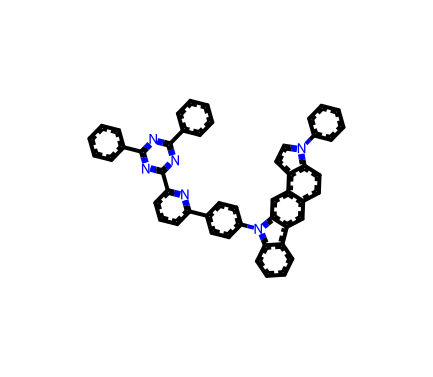 c1ccc(-c2nc(-c3ccccc3)nc(-c3cccc(-c4ccc(-n5c6ccccc6c6cc7ccc8c(ccn8-c8ccccc8)c7cc65)cc4)n3)n2)cc1